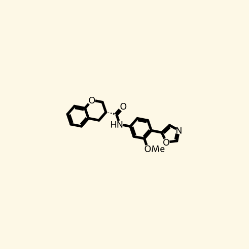 COc1cc(NC(=O)[C@H]2COc3ccccc3C2)ccc1-c1cnco1